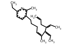 C=CCC(=C/C)/C(=C/C)C(/C)=C\CCCc1ccc(CC)nc1C